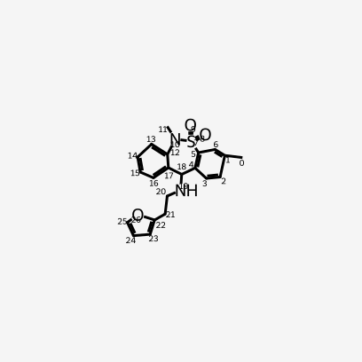 Cc1ccc2c(c1)S(=O)(=O)N(C)c1ccccc1C2NCCc1ccco1